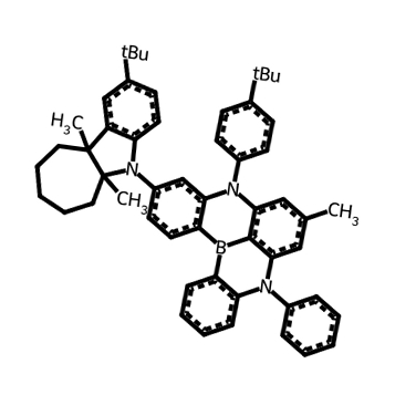 Cc1cc2c3c(c1)N(c1ccc(C(C)(C)C)cc1)c1cc(N4c5ccc(C(C)(C)C)cc5C5(C)CCCCCC45C)ccc1B3c1ccccc1N2c1ccccc1